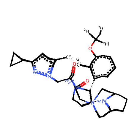 [2H]C([2H])([2H])Oc1cccc([C@@H]2[C@H](N3C4CCC3CN(CC(N)=O)C4)CCN2C(=O)Cn2nc(C3CC3)cc2C(F)(F)F)c1C